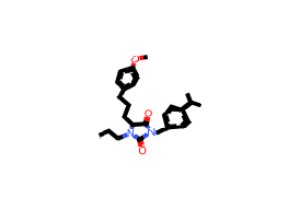 CCCN1C(=O)N(Cc2ccc(C(C)C)cc2)C(=O)C1CCCc1ccc(OC)cc1